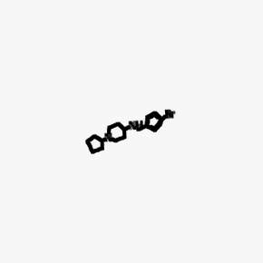 Brc1ccc(CNC2CCN(C3CCCC3)CC2)cc1